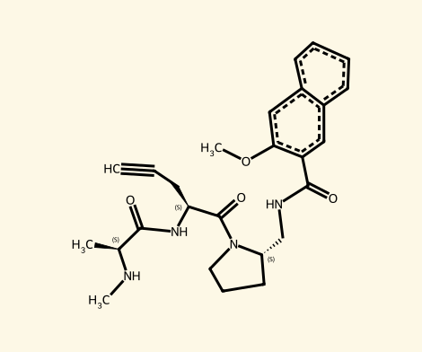 C#CC[C@H](NC(=O)[C@H](C)NC)C(=O)N1CCC[C@H]1CNC(=O)c1cc2ccccc2cc1OC